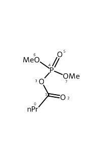 CCCC(=O)OP(=O)(OC)OC